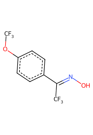 ON=C(c1ccc(OC(F)(F)F)cc1)C(F)(F)F